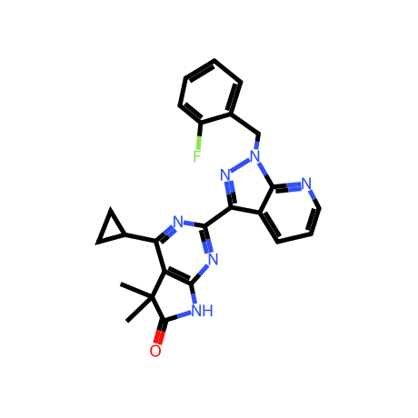 CC1(C)C(=O)Nc2nc(-c3nn(Cc4ccccc4F)c4ncccc34)nc(C3CC3)c21